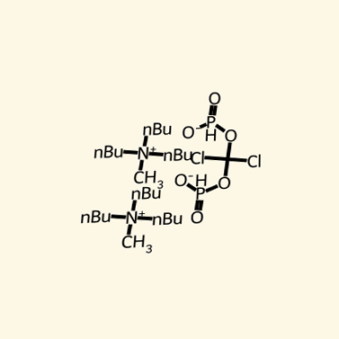 CCCC[N+](C)(CCCC)CCCC.CCCC[N+](C)(CCCC)CCCC.O=[PH]([O-])OC(Cl)(Cl)O[PH](=O)[O-]